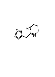 c1cc(CC2=NCCCN2)cs1